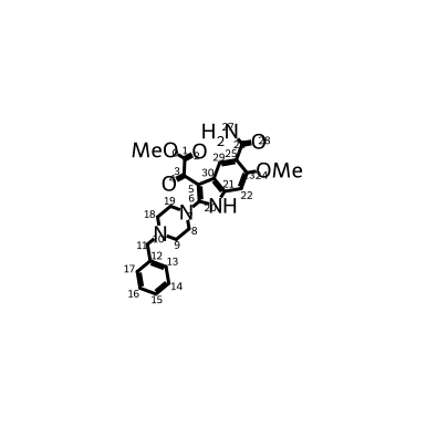 COC(=O)C(=O)c1c(N2CCN(Cc3ccccc3)CC2)[nH]c2cc(OC)c(C(N)=O)cc12